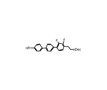 CCCCCCCCCCCCc1ccc(-c2ccc(-c3ccc(CCC)cc3)cc2)c(F)c1F